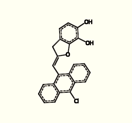 Oc1ccc2c(c1O)OC(=Cc1c3ccccc3c(Cl)c3ccccc13)C2